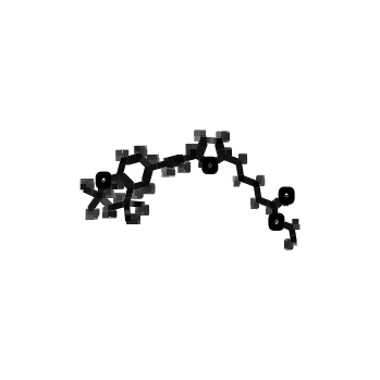 CCOC(=O)CCCCc1ccc(C#Cc2ccc3c(c2)C(C)(C)CC(C)(C)O3)o1